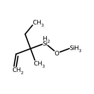 C=CC(C)(CC)[SiH2]O[SiH3]